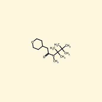 CN(C(=O)CC1CCOCC1)C(C)(C)C(C)(C)C